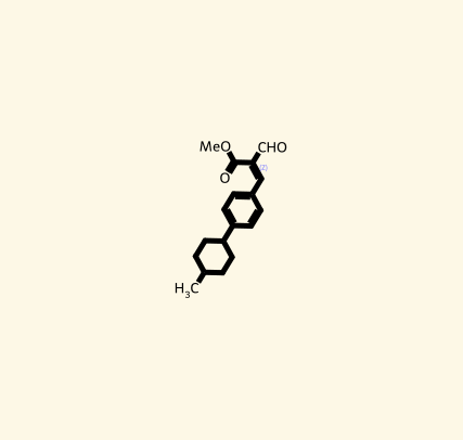 COC(=O)/C(C=O)=C\c1ccc(C2CCC(C)CC2)cc1